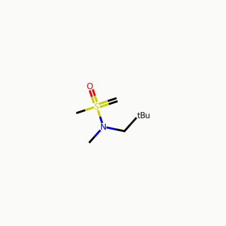 C=S(C)(=O)N(C)CC(C)(C)C